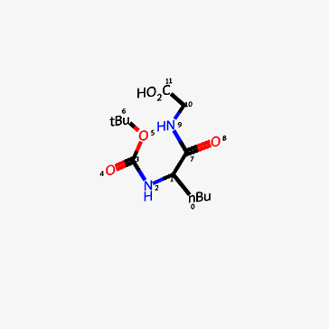 CCCCC(NC(=O)OC(C)(C)C)C(=O)NCC(=O)O